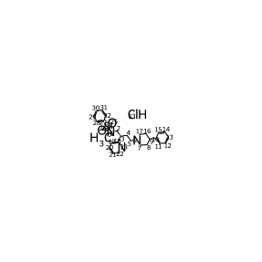 CN(C[C@@H](CCN1CCC(c2ccccc2)CC1)c1ccccn1)S(=O)(=O)c1ccccc1.Cl